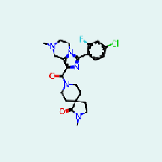 CN1CCn2c(-c3ccc(Cl)cc3F)nc(C(=O)N3CCC4(CCN(C)C4=O)CC3)c2C1